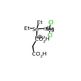 CCC[CH2][Sn]([CH2]C)([CH2]C)[CH2]CCC.O=C(O)CC(=O)O.[Cl][Mg][Cl]